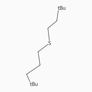 CC(C)(C)CCCSCCC(C)(C)C